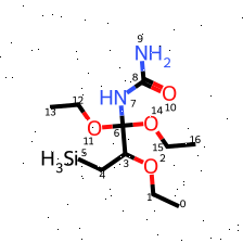 CCOC(C[SiH3])C(NC(N)=O)(OCC)OCC